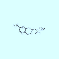 CC(C)(CN1CCc2ccc(N)cc2C1)C(=O)O